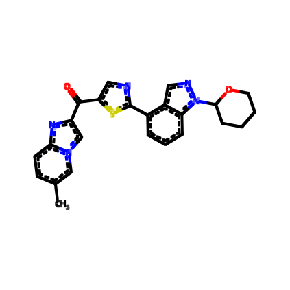 Cc1ccc2nc(C(=O)c3cnc(-c4cccc5c4cnn5C4CCCCO4)s3)cn2c1